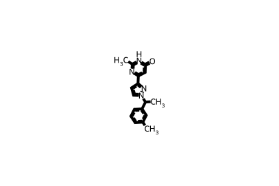 Cc1cccc(C(C)n2ccc(-c3cc(=O)[nH]c(C)n3)n2)c1